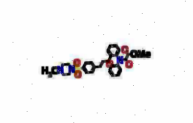 COC(=O)C(=O)N(c1ccccc1)c1ccccc1C(=O)CCc1ccc(S(=O)(=O)N2CCN(C)CC2)cc1